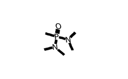 CN(C)P(C)(=O)N(C)C